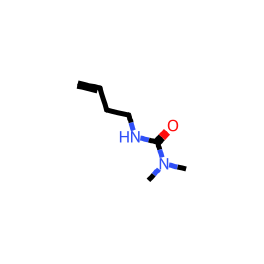 C=CCCNC(=O)N(C)C